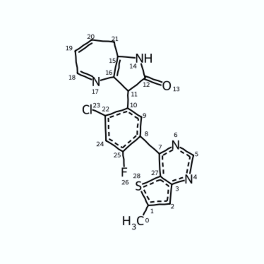 Cc1cc2ncnc(-c3cc(C4C(=O)NC5=C4N=CC=CC5)c(Cl)cc3F)c2s1